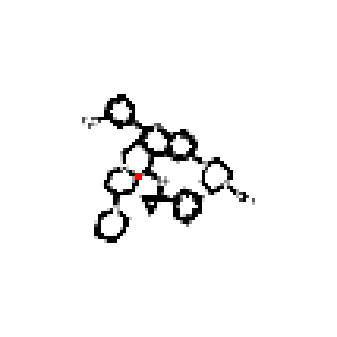 CN1CCN(c2ccc3nc(-c4cccc(C(F)(F)F)c4)c(CN4CCC(N5CCCCC5)CC4)c(C(=O)NC4(c5ccccc5)CC4)c3c2)CC1